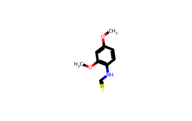 COc1ccc(N[C]=S)c(OC)c1